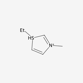 CC[SH]1C=C[N+](C)=C1